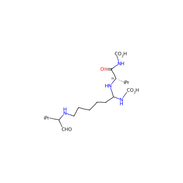 CC(C)C(C=O)NCCCCCC(NC(=O)O)N[C@H](C(=O)NC(=O)O)C(C)C